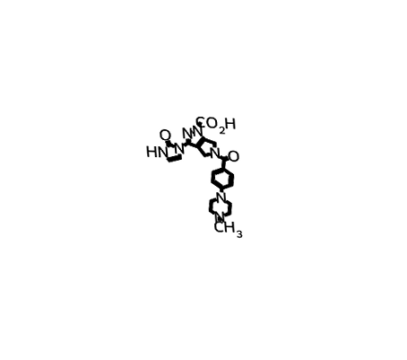 CN1CCN(c2ccc(C(=O)N3Cc4c(-n5cc[nH]c5=O)nn(C(=O)O)c4C3)cc2)CC1